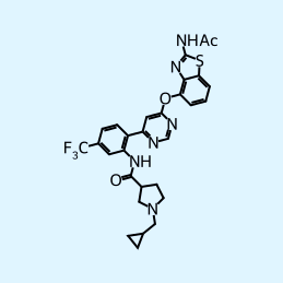 CC(=O)Nc1nc2c(Oc3cc(-c4ccc(C(F)(F)F)cc4NC(=O)C4CCN(CC5CC5)C4)ncn3)cccc2s1